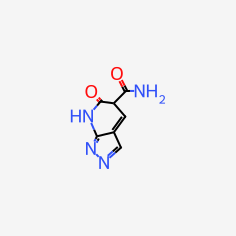 NC(=O)C1C=C2C=NN=C2NC1=O